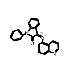 O=C1/C(=N\c2cccc3ncccc23)c2ccccc2N1c1ccccc1